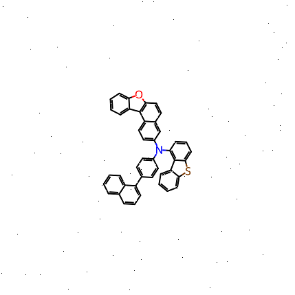 c1ccc2c(-c3ccc(N(c4ccc5c(ccc6oc7ccccc7c65)c4)c4cccc5sc6ccccc6c45)cc3)cccc2c1